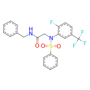 O=C(CN(c1cc(C(F)(F)F)ccc1F)S(=O)(=O)c1ccccc1)NCc1ccccc1